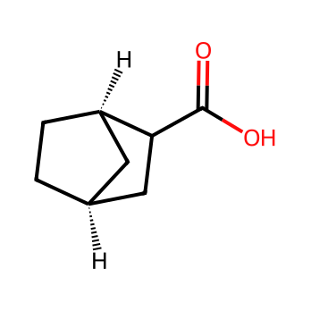 O=C(O)C1C[C@H]2CC[C@@H]1C2